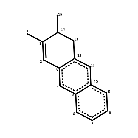 CC1=Cc2cc3ccccc3cc2CC1C